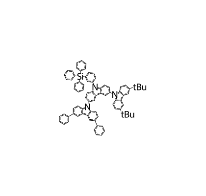 CC(C)(C)c1ccc2c(c1)c1cc(C(C)(C)C)ccc1n2-c1ccc2c(c1)c1cc(-n3c4ccc(-c5ccccc5)cc4c4cc(-c5ccccc5)ccc43)ccc1n2-c1cccc([Si](c2ccccc2)(c2ccccc2)c2ccccc2)c1